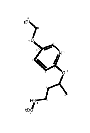 CC(CCNC(C)(C)C)Oc1ccc(OCC(C)(C)C)cn1